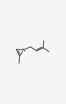 CC(C)=CCN1C=C1C